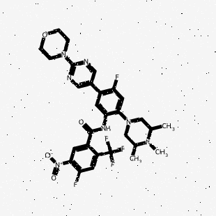 CC1CN(c2cc(F)c(-c3cnc(N4CCOCC4)nc3)cc2NC(=O)c2cc([N+](=O)[O-])c(F)cc2C(F)(F)F)CC(C)N1C